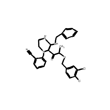 CC(OCc1ccc(Cl)c(Cl)c1)C(=O)C1C(NCc2ccccc2)NCCN1c1ccccc1C#N